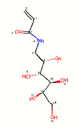 C=CC(=O)NC[C@H](O)[C@@H](O)[C@@H](O)[C@H](O)CO